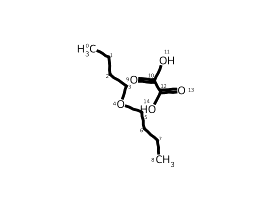 CCCCOCCCC.O=C(O)C(=O)O